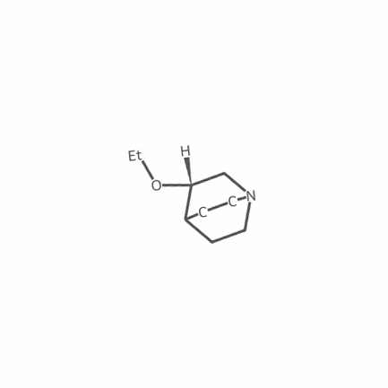 CCO[C@@H]1CN2CCC1CC2